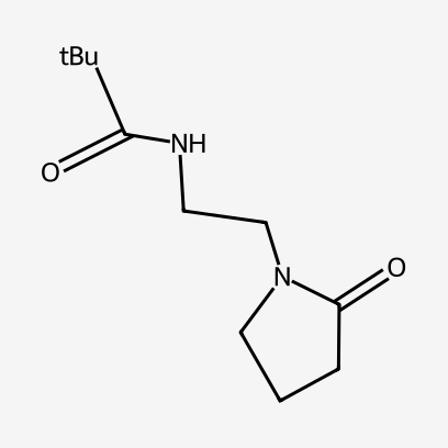 CC(C)(C)C(=O)NCCN1CCCC1=O